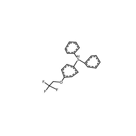 FC(F)(F)COc1ccc([SH](c2ccccc2)c2ccccc2)cc1